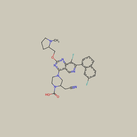 CN1CCCC1COc1nc(N2CCN(C(=O)O)C(CC#N)C2)c2cnc(-c3cccc4ccc(F)cc34)c(F)c2n1